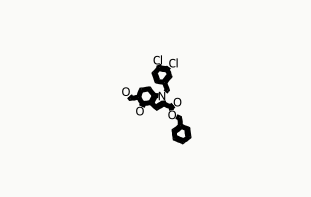 O=CC1CCc2c(cc(C(=O)OCc3ccccc3)n2Cc2ccc(Cl)c(Cl)c2)C1=O